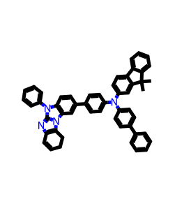 CC1(C)c2ccccc2-c2ccc(N(c3ccc(-c4ccccc4)cc3)c3ccc(-c4ccc5c(c4)n4c6c(nc4n5-c4ccccc4)C=CCC6)cc3)cc21